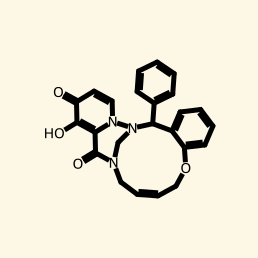 O=C1c2c(O)c(=O)ccn2N2CN1C/C=C\COc1ccccc1C2c1ccccc1